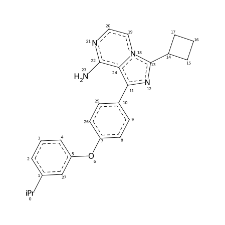 CC(C)c1cccc(Oc2ccc(-c3nc(C4CCC4)n4ccnc(N)c34)cc2)c1